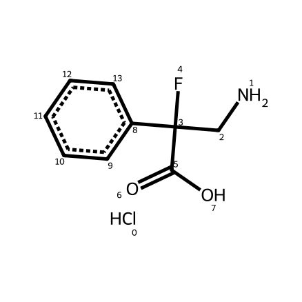 Cl.NCC(F)(C(=O)O)c1ccccc1